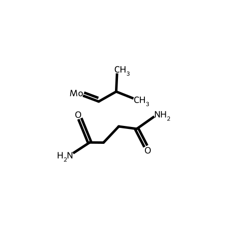 CC(C)[CH]=[Mo].NC(=O)CCC(N)=O